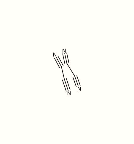 N#CC#N.N#CC#N